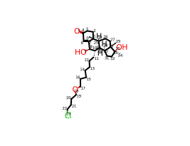 C[C@]12CCC(=O)C=C1[C@H](O)[C@@H](CCCCCCCOCCCCCl)[C@@H]1[C@@H]2CC[C@@]2(C)[C@H]1CC[C@]2(C)O